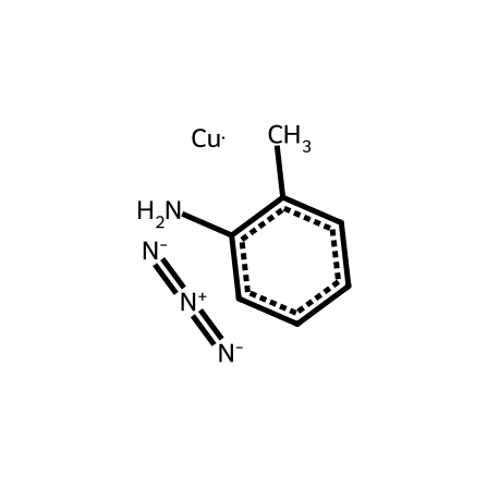 Cc1ccccc1N.[Cu].[N-]=[N+]=[N-]